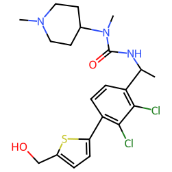 CC(NC(=O)N(C)C1CCN(C)CC1)c1ccc(-c2ccc(CO)s2)c(Cl)c1Cl